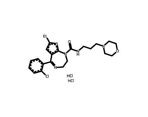 CCc1cc2c(s1)N(C(=O)NCCCN1CCOCC1)CCN=C2c1ccccc1Cl.Cl.Cl